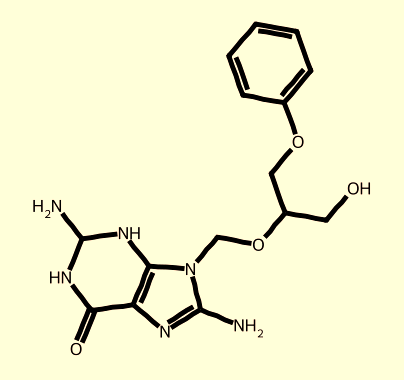 Nc1nc2c(n1COC(CO)COc1ccccc1)NC(N)NC2=O